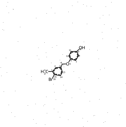 Cc1cc(COc2ccc(O)cc2)ccc1Br